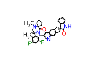 CN1C[C@@](C)(c2cc(F)cc(F)c2)N(Cc2cnc3cc4c(cc3c2)C[C@@]2(C4)C(=O)Nc3ccccc32)C(=O)C12CCCC2